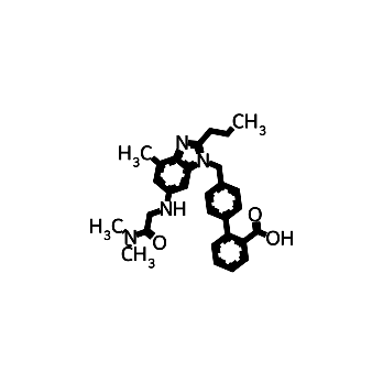 CCCc1nc2c(C)cc(NCC(=O)N(C)C)cc2n1Cc1ccc(-c2ccccc2C(=O)O)cc1